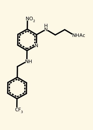 CC(=O)NCCNc1nc(NCc2ccc(C(F)(F)F)cc2)ccc1[N+](=O)[O-]